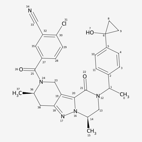 CC(c1ccc(C2(O)CC2)cc1)N1C[C@@H](C)n2nc3c(c2C1=O)CN(C(=O)c1ccc(Cl)c(C#N)c1)[C@H](C)C3